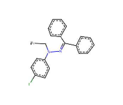 CC(C)CN(N=C(c1ccccc1)c1ccccc1)c1ccc(F)cc1